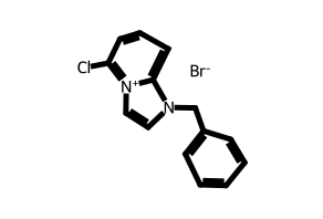 Clc1cccc2n(Cc3ccccc3)cc[n+]12.[Br-]